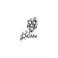 COc1cc(F)ccc1CCN1CC[C@H]2[C@@H](C1)c1cccc3c1N2CCN3C